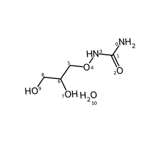 NC(=O)NOCC(O)CO.O